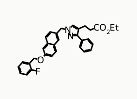 CCOC(=O)CCc1cn(Cc2ccc3cc(OCc4ccccc4F)ccc3c2)nc1-c1ccccc1